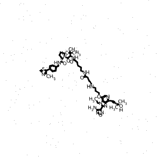 CCn1c(-c2nonc2N)nc2c(C#CC(C)(C)O)ncc(OCCCNCCCC(=O)NCCCCC(=O)NC(C(=O)N3CCC[C@H]3C(=O)NCc3ccc(-c4scnc4C)cc3)C(C)(C)C)c21